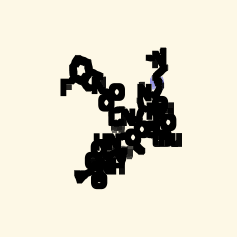 C=C[C@@H]1C[C@]1(NC(=O)[C@@H]1CC(OC(=O)N2Cc3cccc(F)c3C2)CN1C(=O)C(CN(C)C(=O)/C=C/CN(C)C)NC(=O)OC(C)(C)C)C(=O)NS(=O)(=O)C1CC1